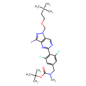 CN(Cc1cc(F)c(-c2ncc3c(n2)c(I)nn3COCC[Si](C)(C)C)c(F)c1)C(=O)OC(C)(C)C